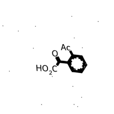 CC(=O)c1ccccc1C(=O)C(=O)O